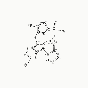 Cc1ccc2c(c1)c(-c1ccc[nH]c1=O)c(C(=O)O)n2Cc1cc(S(N)(=O)=O)ccc1F